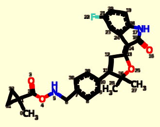 CC1(C(=O)ONCc2ccc(C3=CC(=C4C(=O)Nc5ccc(F)cc54)OC3(C)C)cc2)CC1